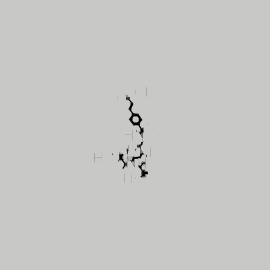 CC(NC(=O)[C@H](CCC(=O)O)NC(=O)CNC(=O)c1ccc(/C=C/C(=O)O)cc1)C(N)=O